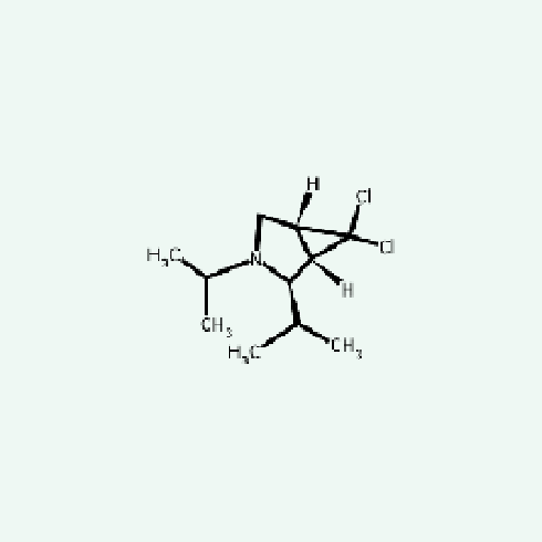 CC(C)[C@@H]1[C@@H]2[C@H](CN1C(C)C)C2(Cl)Cl